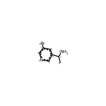 CC(N)c1cncc(Br)c1